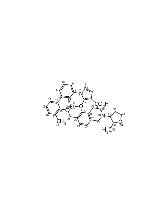 CCOc1c(C(=O)O)cnn1-c1cccc(-c2cccc(C)c2OCc2ccc3c(c2)CCN(C2CCOC2C)C3)n1